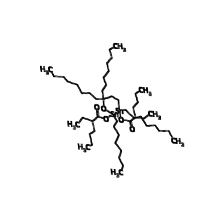 CCCCCCCCC1(CCCCCCCC)C[CH2][Sn]([CH2]CCCCCCC)([O]C(=O)C(CC)CCCC)[Sn]([CH2]CCCCCCC)([O]C(=O)C(CC)CCCC)[O]1